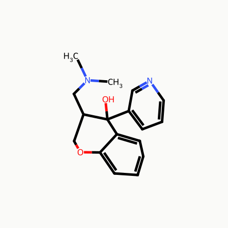 CN(C)CC1COc2ccccc2C1(O)c1cccnc1